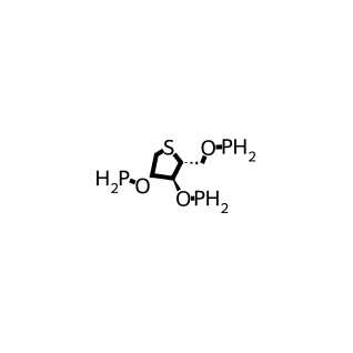 POC[C@H]1SC[C@@H](OP)[C@@H]1OP